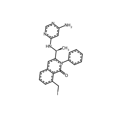 C[C@H](Nc1cc(N)ncn1)c1cc2cccc(CI)c2c(=O)n1-c1ccccc1